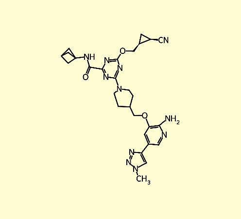 Cn1cc(-c2cnc(N)c(OCC3CCN(c4nc(OC[C@H]5C[C@H]5C#N)nc(C(=O)NC56CC(C5)C6)n4)CC3)c2)nn1